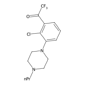 CCCN1CCN(c2cccc(C(=O)C(F)(F)F)c2Cl)CC1